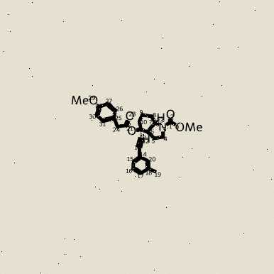 COC(=O)N1CC[C@@H]2[C@H]1CCC[C@]2(C#Cc1cccc(C)c1)OC(=O)Cc1ccc(OC)cc1